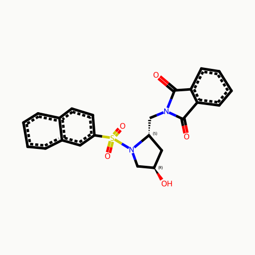 O=C1c2ccccc2C(=O)N1C[C@@H]1C[C@@H](O)CN1S(=O)(=O)c1ccc2ccccc2c1